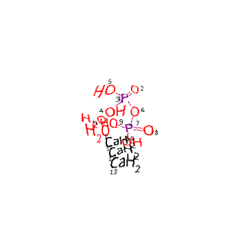 O.O.O=P(O)(O)OP(=O)(O)O.[CaH2].[CaH2].[CaH2]